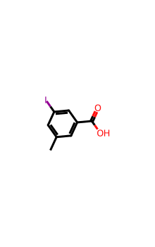 Cc1cc(I)cc(C(=O)O)c1